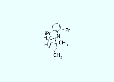 C=CCC(C)(C)C(C)=Nc1c(C(C)C)cccc1C(C)C